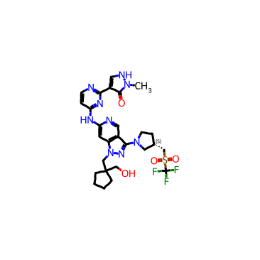 Cn1[nH]cc(-c2nccc(Nc3cc4c(cn3)c(N3CC[C@H](CS(=O)(=O)C(F)(F)F)C3)nn4CC3(CO)CCCC3)n2)c1=O